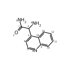 NC(=O)C(N)c1ccnc2ccccc12